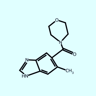 Cc1cc2[nH]cnc2cc1C(=O)N1CCOCC1